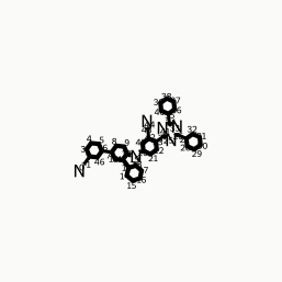 N#Cc1cccc(-c2ccc3c(c2)c2ccccc2n3-c2ccc(-c3nc(-c4ccccc4)nc(-c4ccccc4)n3)c(C#N)c2)c1